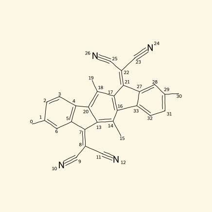 Cc1ccc2c(c1)C(=C(C#N)C#N)c1c(C)c3c(c(C)c1-2)C(=C(C#N)C#N)c1cc(C)ccc1-3